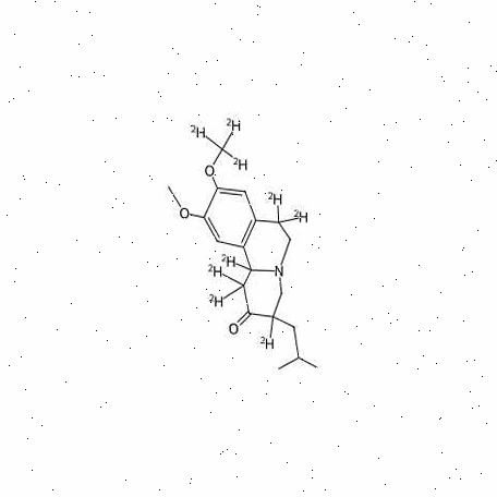 [2H]C([2H])([2H])Oc1cc2c(cc1OC)C1([2H])N(CC([2H])(CC(C)C)C(=O)C1([2H])[2H])CC2([2H])[2H]